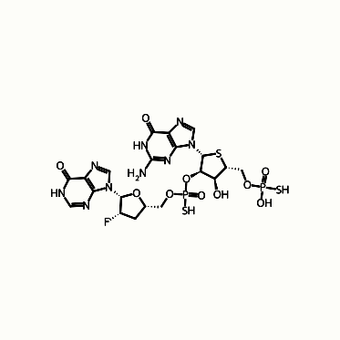 Nc1nc2c(ncn2[C@@H]2S[C@H](COP(=O)(O)S)[C@@H](O)[C@H]2OP(=O)(S)OC[C@@H]2C[C@H](F)[C@H](n3cnc4c(=O)[nH]cnc43)O2)c(=O)[nH]1